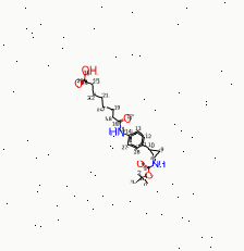 CC(C)(C)OC(=O)NC1CC1c1ccc(NC(=O)CCCCCCC(=O)O)cc1